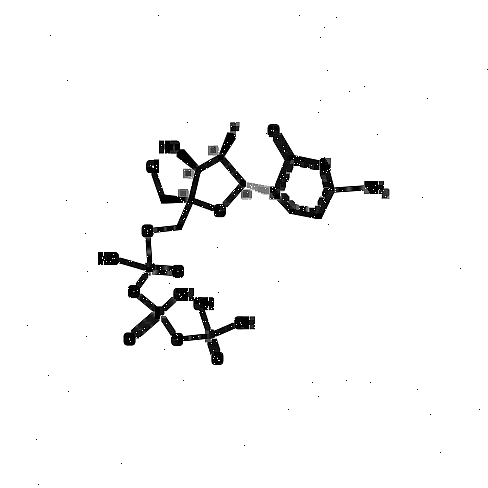 Nc1ccn([C@@H]2O[C@](CCl)(COP(=O)(O)OP(=O)(O)OP(=O)(O)O)[C@@H](O)[C@H]2F)c(=O)n1